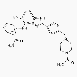 CC(=O)N1CCN(Cc2ccc(-c3nc4c(NC5C6C=CC(C6)C5C(N)=O)c(Br)cnc4[nH]3)cc2)CC1